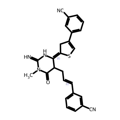 CN1C(=N)N/C(=C2\CC(c3cccc(C#N)c3)=CS2)C(C/C=C/c2cccc(C#N)c2)C1=O